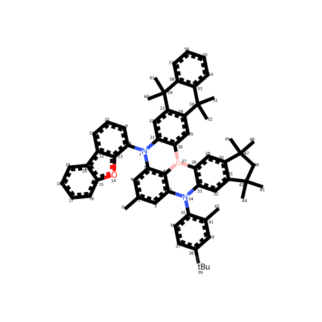 Cc1cc2c3c(c1)N(c1cccc4c1oc1ccccc14)c1cc4c(cc1B3c1cc3c(cc1N2c1ccc(C(C)(C)C)cc1C)C(C)(C)CC3(C)C)C(C)(C)c1ccccc1C4(C)C